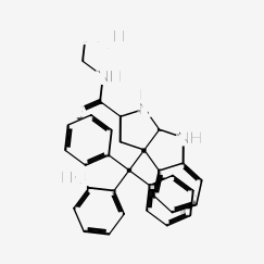 O=C(O)CNC(=O)C1CC2(C(c3ccccc3)(c3ccccc3)c3ccccc3O)c3ccccc3NC2N1